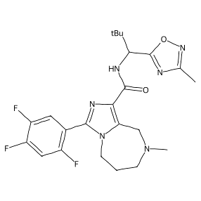 Cc1noc(C(NC(=O)c2nc(-c3cc(F)c(F)cc3F)n3c2CN(C)CCC3)C(C)(C)C)n1